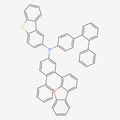 c1ccc(-c2ccccc2-c2ccc(N(c3ccc(-c4ccccc4)c(-c4cccc5c4oc4ccccc45)c3)c3ccc4sc5ccccc5c4c3)cc2)cc1